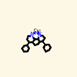 [Cs+].[N-]=[N+]=[N-].c1ccc(-c2ccnc3c2ccc2c(-c4ccccc4)ccnc23)cc1